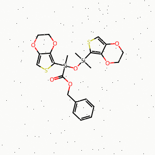 C[Si](C)(O[Si](C)(C(=O)OCc1ccccc1)c1scc2c1OCCO2)c1scc2c1OCCO2